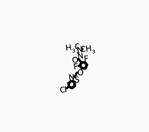 CN(C)C=NC(=O)c1c(F)ccc(OCc2nc3cc(Cl)ccc3s2)c1F